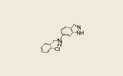 Clc1ccccc1CNc1ccc2cn[nH]c2c1